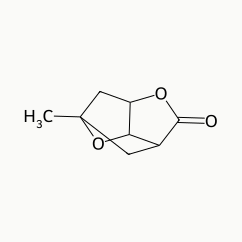 CC12CC3OC(=O)C(C1)C3O2